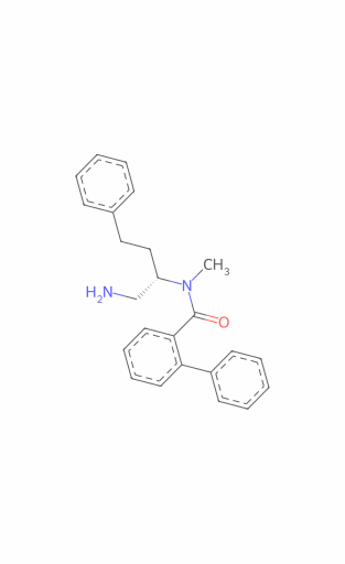 CN(C(=O)c1ccccc1-c1ccccc1)[C@H](CN)CCc1ccccc1